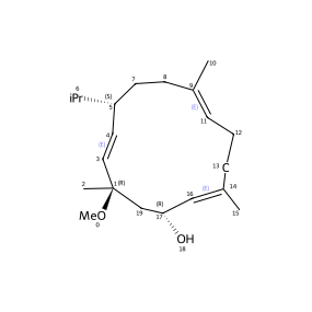 CO[C@@]1(C)/C=C/[C@H](C(C)C)CC/C(C)=C/CC/C(C)=C/[C@H](O)C1